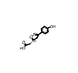 O=C(O)C[C@H]1CC(c2ccc(O)cc2)=NO1